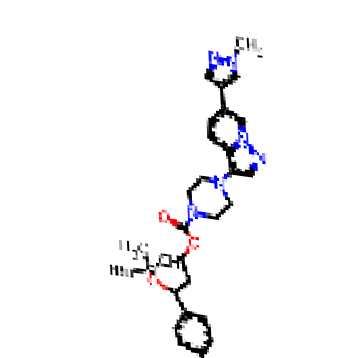 Cc1ccc(C(CCOC(=O)N2CCN(c3cnn4cc(-c5cnn(C)c5)ccc34)CC2)O[Si](C)(C)C(C)(C)C)cc1